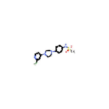 CS(=O)(=O)Nc1ccc(N2CCN(c3ccnc(Cl)c3)CC2)cc1